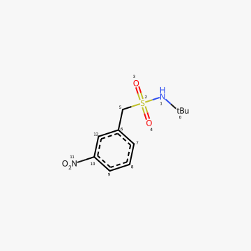 CC(C)(C)NS(=O)(=O)Cc1cccc([N+](=O)[O-])c1